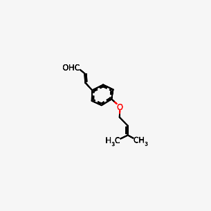 CC(C)=CCOc1ccc(C=CC=O)cc1